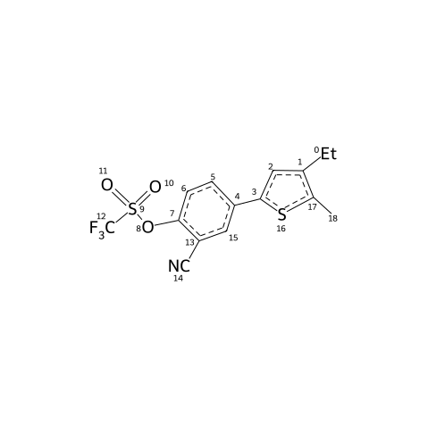 CCc1cc(-c2ccc(OS(=O)(=O)C(F)(F)F)c(C#N)c2)sc1C